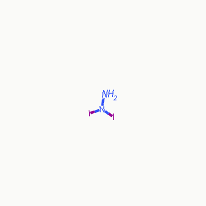 NN(I)I